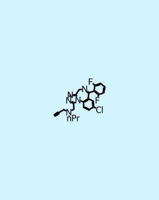 C#CCN(CCC)Cc1nnc2n1-c1ccc(Cl)cc1C(c1c(F)cccc1F)=NC2